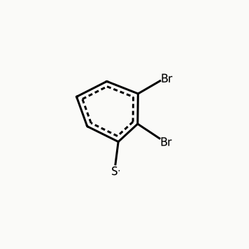 [S]c1cccc(Br)c1Br